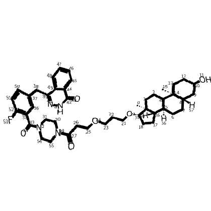 C[C@]12CCC3[C@@H](CC[C@H]4CC(O)CC[C@]34C)[C@@H]1CC[C@@H]2OCCCOCCC(=O)N1CCN(C(=O)c2cc(Cc3n[nH]c(=O)c4ccccc34)ccc2F)CC1